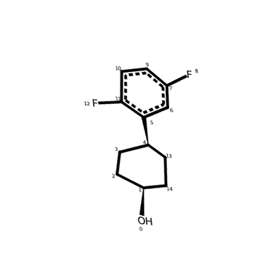 O[C@H]1CC[C@@H](c2cc(F)ccc2F)CC1